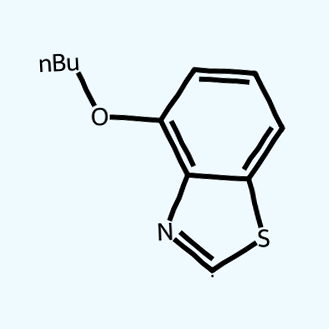 CCCCOc1cccc2s[c]nc12